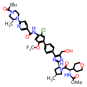 COC(=O)N[C@H](C(=O)N1C[C@@H](C)C[C@H]1c1nc(-c2ccc(-c3cc(Cl)c(NC(=O)c4ccc(N5CCN(C(=O)C(C)(C)C)C[C@H]5C)nc4)cc3OC(F)(F)F)cc2)c(CO)[nH]1)C1CCOCC1